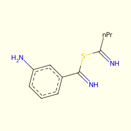 CCCC(=N)SC(=N)c1cccc(N)c1